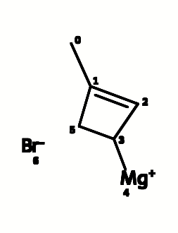 CC1=C[CH]([Mg+])C1.[Br-]